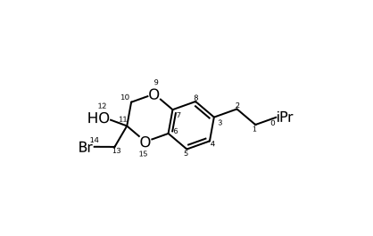 CC(C)CCc1ccc2c(c1)OCC(O)(CBr)O2